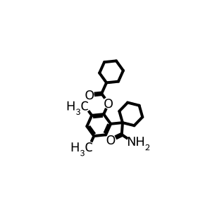 Cc1cc(C)c(OC(=O)C2CCCCC2)c(C2(C(N)=O)CCCCC2)c1